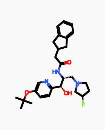 CC(C)(C)Oc1ccc([C@@H](O)[C@@H](CN2CC[C@@H](F)C2)NC(=O)CC2Cc3ccccc3C2)nc1